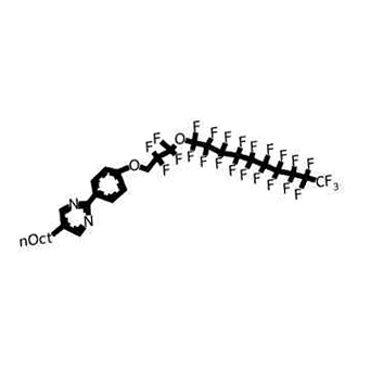 CCCCCCCCc1cnc(-c2ccc(OCC(F)(F)C(F)(F)OC(F)(F)C(F)(F)C(F)(F)C(F)(F)C(F)(F)C(F)(F)C(F)(F)C(F)(F)C(F)(F)C(F)(F)F)cc2)nc1